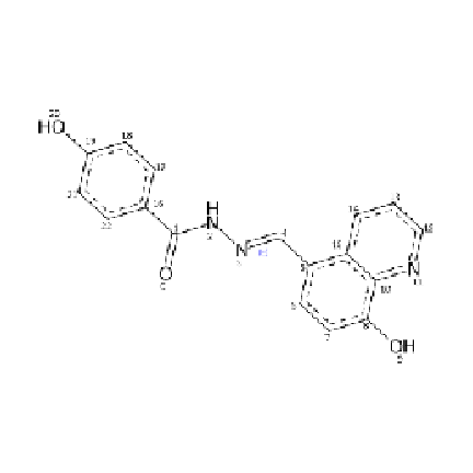 O=C(N/N=C/c1ccc(O)c2ncccc12)c1ccc(O)cc1